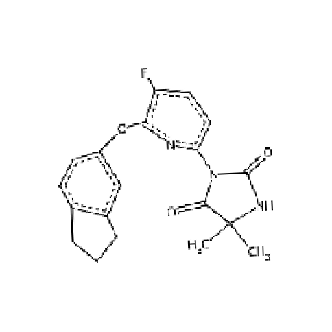 CC1(C)NC(=O)N(c2ccc(F)c(Oc3ccc4c(c3)CCC4)n2)C1=O